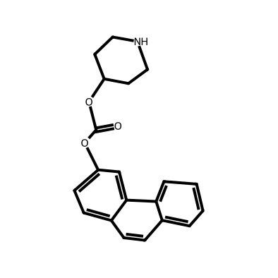 O=C(Oc1ccc2ccc3ccccc3c2c1)OC1CCNCC1